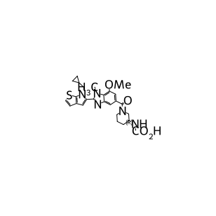 COc1cc(C(=O)N2CCC[C@@H](NC(=O)O)C2)cc2nc(-c3cc4ccsc4n3CC3CC3)n(C)c12